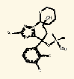 CC(C)(C)[Si](C)(C)OC(CCO)(c1cccc(F)c1F)c1nc(Br)nn1C1CCCCO1